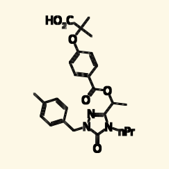 CCCn1c(C(C)OC(=O)c2ccc(OC(C)(C)C(=O)O)cc2)nn(Cc2ccc(C)cc2)c1=O